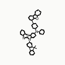 CC1(C)c2ccccc2-c2ccc(-n3c4ccc(N(c5ccccc5)c5ccc(-c6cccc7c6oc6ccccc67)cc5)cc4n4c5ccccc5nc34)cc21